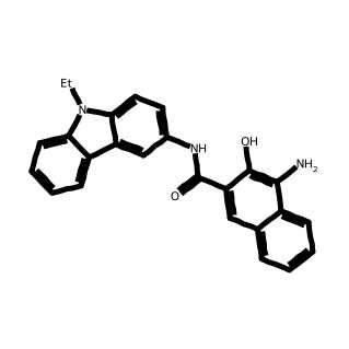 CCn1c2ccccc2c2cc(NC(=O)c3cc4ccccc4c(N)c3O)ccc21